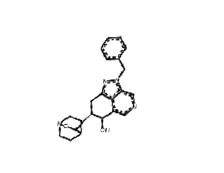 OC1c2cncc3c2c(nn3Cc2ccccc2)C[C@@H]1C1CN2CCC1CC2